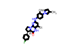 CCc1cc(Nc2ccc(-n3ccc(C)c3)c(OC)c2)nc2c1NC(=O)[C@H]1[C@@H](c3ccc(F)cc3)CCN21